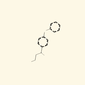 O=CCCC(Cl)c1ccc(Oc2ccccc2)cc1